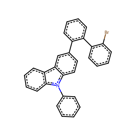 Brc1ccccc1-c1ccccc1-c1ccc2c(c1)c1ccccc1n2-c1ccccc1